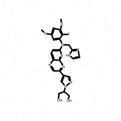 COc1cc(OC)c(F)c(N(Cc2ncc[nH]2)c2ccc3ncc(-c4cnn(C(CO)CO)c4)nc3n2)c1